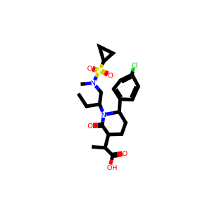 CCC(CN(C)S(=O)(=O)C1CC1)N1C(=O)C(C(C)C(=O)O)CCC1c1ccc(Cl)cc1